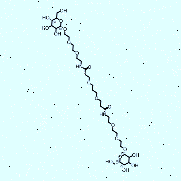 O=C(CCOCCCOCCC(=O)NCCOCCOCCO[C@H]1O[C@@H](CO)[C@@H](O)C(O)C1O)NCCOCCOCCO[C@H]1OC(CO)[C@@H](O)C(O)C1O